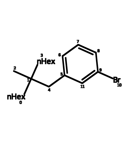 CCCCCCC(C)(CCCCCC)Cc1cccc(Br)c1